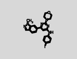 Cn1ncc2ccc(-c3cc(Nc4ccc(I)cc4)nc(N4CCOCC4)n3)cc21